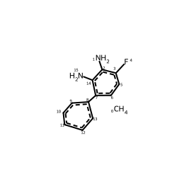 C.Nc1c(F)ccc(-c2ccccc2)c1N